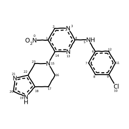 O=[N+]([O-])c1cnc(Nc2ccc(Cl)cc2)nc1N1CCc2[nH]cnc2C1